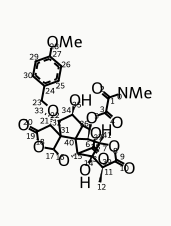 CNC(=O)C(=O)O[C@H]1[C@@H]2OC(=O)[C@@H](C)[C@]2(O)[C@]23OC4OC(=O)[C@H](OCc5ccc(OC)cc5)C45[C@H](C)[C@@H](O)C(OC2=O)C153